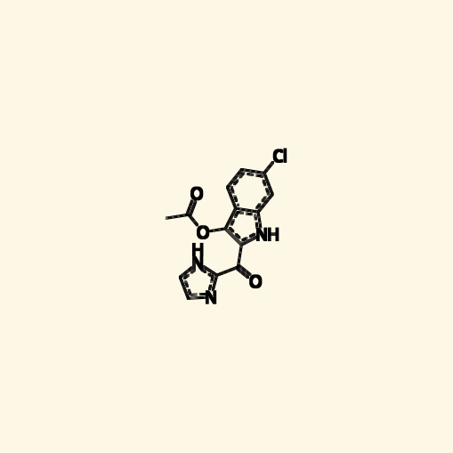 CC(=O)Oc1c(C(=O)c2ncc[nH]2)[nH]c2cc(Cl)ccc12